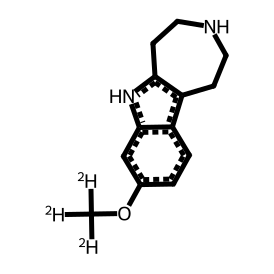 [2H]C([2H])([2H])Oc1ccc2c3c([nH]c2c1)CCNCC3